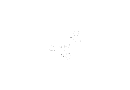 CN(Cc1nc2ccccc2n1C/C=C/CN1C(=O)c2ccccc2C1=O)C1CCCc2cccnc21